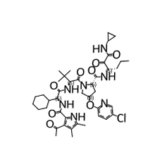 CCC[C@H](NC(=O)[C@@H]1C[C@@H](Oc2ccc(Cl)cn2)CN1C(=O)[C@@H](NC(=O)[C@@H](NC(=O)c1[nH]c(C)c(C)c1C(C)=O)C1CCCCC1)C(C)(C)C)C(=O)C(=O)NC1CC1